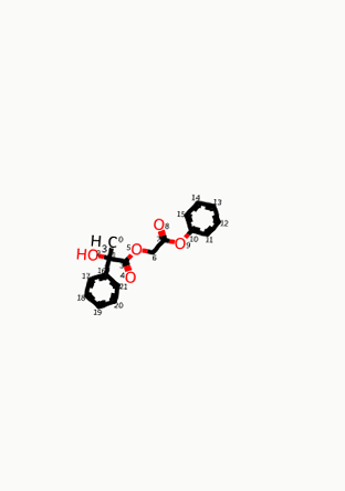 CC(O)(C(=O)OCC(=O)Oc1ccccc1)c1ccccc1